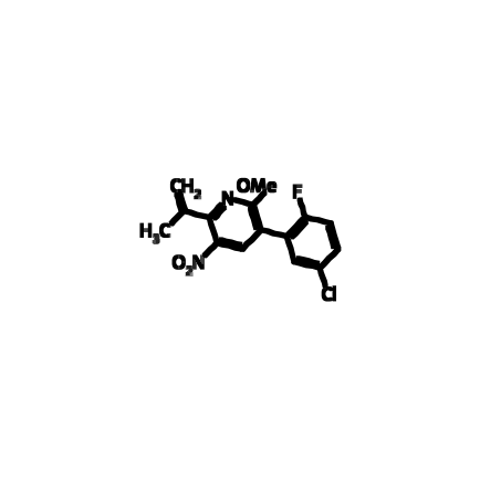 C=C(C)c1nc(OC)c(-c2cc(Cl)ccc2F)cc1[N+](=O)[O-]